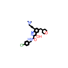 CN(C)CC#Cc1cc(CC2CCOCC2)cc2c(O)c(C(=O)NCc3ccc(Cl)cc3)nnc12